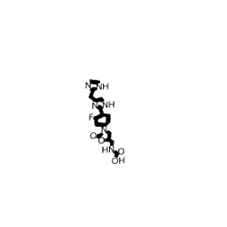 O=C(O)NCC1CN(c2ccc(-c3nc(Cc4ncc[nH]4)c[nH]3)c(F)c2)C(=O)O1